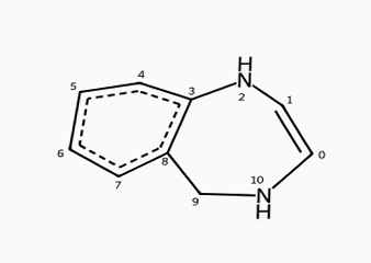 C1=CNc2ccccc2CN1